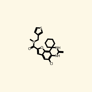 C=C1Nc2c(Cl)cc3cc(C(=O)N(C)Cc4ccsc4)oc3c2C2(CCCCC2)N1